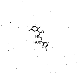 Cc1ccc(C)c(C(=O)NC[C@H](O)c2ccc(C)o2)c1